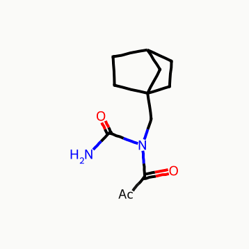 CC(=O)C(=O)N(CC12CCC(CC1)C2)C(N)=O